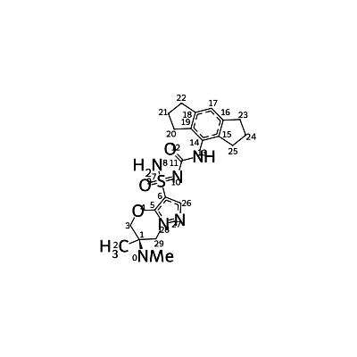 CN[C@@]1(C)COc2c(S(N)(=O)=NC(=O)Nc3c4c(cc5c3CCC5)CCC4)cnn2C1